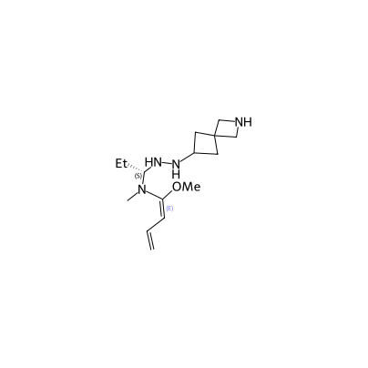 C=C/C=C(/OC)N(C)[C@H](CC)NNC1CC2(CNC2)C1